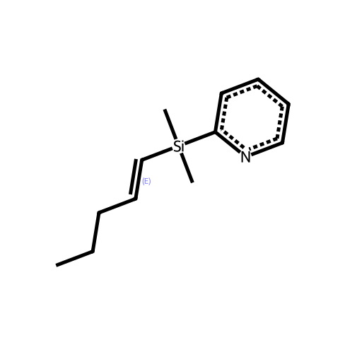 CCC/C=C/[Si](C)(C)c1ccccn1